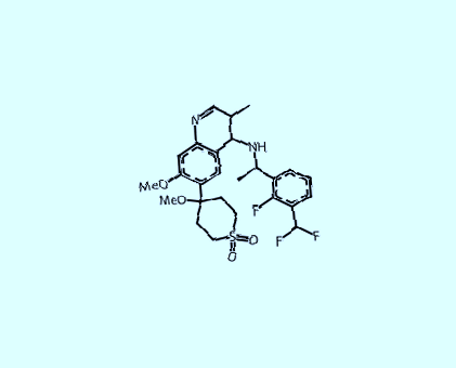 COc1cc2c(cc1C1(OC)CCS(=O)(=O)CC1)C(N[C@H](C)c1cccc(C(F)F)c1F)C(C)C=N2